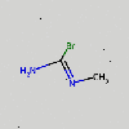 C/N=C(/N)Br